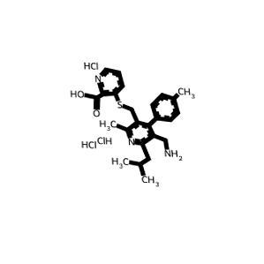 Cc1ccc(-c2c(CSc3cccnc3C(=O)O)c(C)nc(CC(C)C)c2CN)cc1.Cl.Cl.Cl